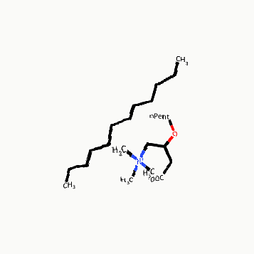 CCCCCCCCCCCC.CCCCCOC(CC(=O)[O-])C[N+](C)(C)C